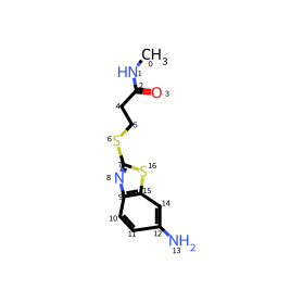 CNC(=O)CCSc1nc2ccc(N)cc2s1